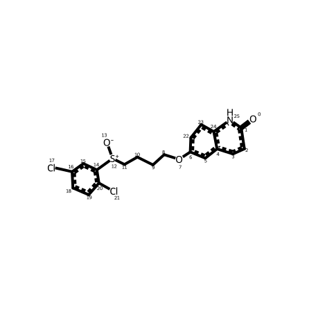 O=c1ccc2cc(OCCCC[S+]([O-])c3cc(Cl)ccc3Cl)ccc2[nH]1